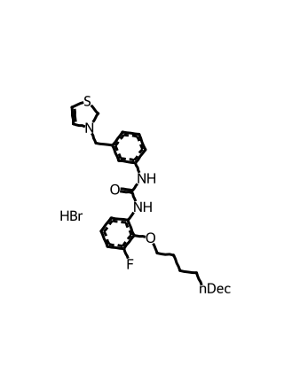 Br.CCCCCCCCCCCCCCOc1c(F)cccc1NC(=O)Nc1cccc(CN2C=CSC2)c1